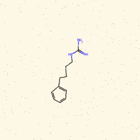 N=C(N)NCC[CH]Cc1ccccc1